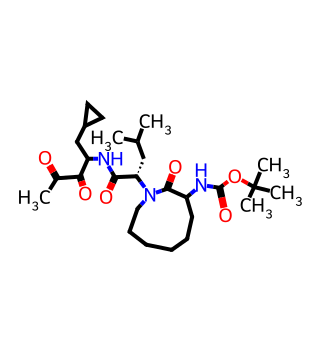 CC(=O)C(=O)C(CC1CC1)NC(=O)[C@H](CC(C)C)N1CCCCCCC(NC(=O)OC(C)(C)C)C1=O